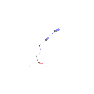 N#C[N+]#CCNCC(=O)O